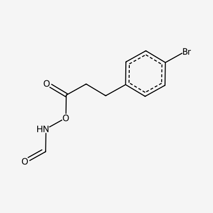 O=CNOC(=O)CCc1ccc(Br)cc1